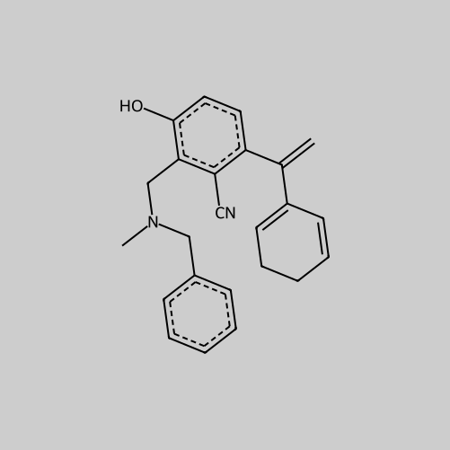 C=C(C1=CCCC=C1)c1ccc(O)c(CN(C)Cc2ccccc2)c1C#N